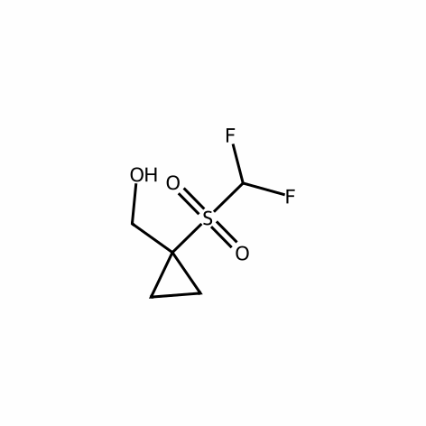 O=S(=O)(C(F)F)C1(CO)CC1